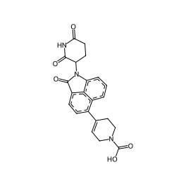 O=C1CCC(N2C(=O)c3ccc(C4=CCN(C(=O)O)CC4)c4cccc2c34)C(=O)N1